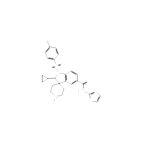 CC(=O)N1CCC2(CC1)c1cc(C(=O)Nc3ncco3)ccc1N(S(=O)(=O)c1ccc(C)cc1)C2C1CC1